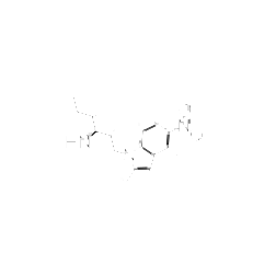 CCCC(=N)CCn1c(C)cc2cc([N+](=O)[O-])ccc21